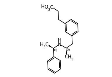 C[C@H](Cc1cccc(CCC(=O)O)c1)N[C@H](C)c1ccccc1